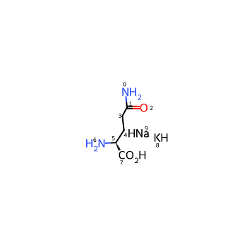 NC(=O)CC[C@H](N)C(=O)O.[KH].[NaH]